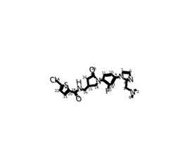 CN(C)Cc1nccn1-c1ccc(N2CC(CNC(=O)c3ccc(Cl)s3)CC2=O)c(F)c1